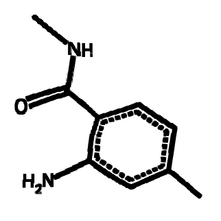 CNC(=O)c1ccc(C)cc1N